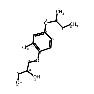 CCC(C)Oc1ccc(OCC(O)CO)c(Cl)c1